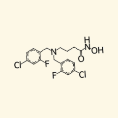 O=C(CCCN(Cc1ccc(Cl)cc1F)Cc1ccc(Cl)cc1F)NO